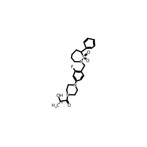 C[C@H](O)C(=O)N1CCN(c2ccc(CN3CCCCC(c4ccccc4)S3(=O)=O)c(F)c2)CC1